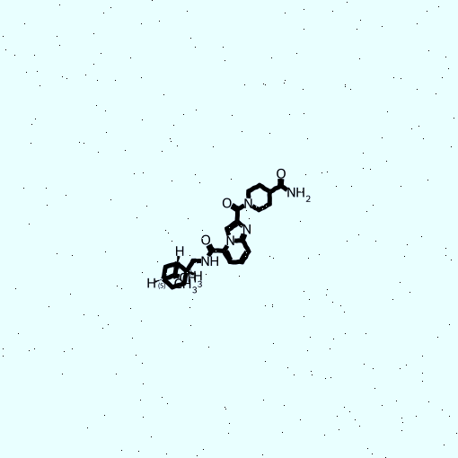 CC1(C)[C@H]2CC[C@@H](CNC(=O)c3cccc4nc(C(=O)N5CCC(C(N)=O)CC5)cn34)[C@H]1C2